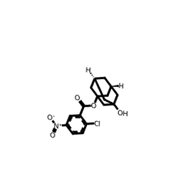 O=C(OC12C[C@@H]3C[C@@H](CC(O)(C3)C1)C2)c1cc([N+](=O)[O-])ccc1Cl